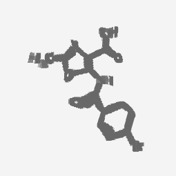 Cc1nc(C(=O)O)c(NC(=O)c2ccc(Br)cc2)o1